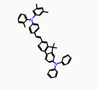 Cc1cc(C)cc(N(c2ccc(/C=C/c3ccc4c(c3)C(C)(C)c3cc(N(c5ccccc5)c5ccccc5)ccc3-4)cc2)c2ccccc2C)c1